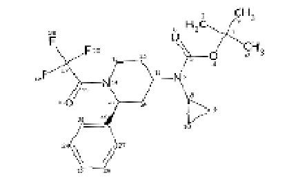 CC(C)(C)OC(=O)N(C1CC1)C1CCN(C(=O)C(F)(F)F)[C@H](c2ccccc2)C1